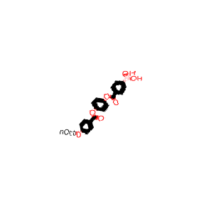 CCCCCCCCOc1ccc(C(=O)Oc2ccc(OC(=O)c3ccc(B(O)O)cc3)cc2)cc1